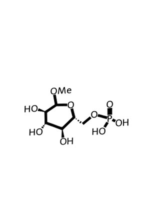 COC1O[C@H](COP(=O)(O)O)[C@@H](O)[C@H](O)[C@H]1O